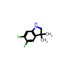 CC1(C)CNc2cc(F)c(F)cc21